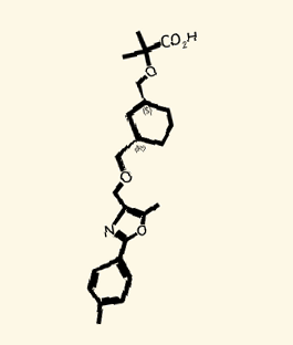 Cc1ccc(-c2nc(COC[C@@H]3CCC[C@H](COC(C)(C)C(=O)O)C3)c(C)o2)cc1